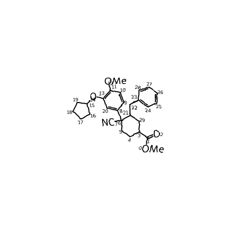 COC(=O)C1CCC(C#N)(c2ccc(OC)c(OC3CCCC3)c2)C(Cc2ccccc2)C1